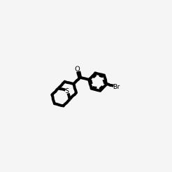 O=C(c1ccc(Br)cc1)C1CC2CCCC(C1)S2